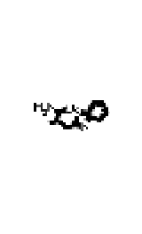 CC(Cc1nc2ccccc2s1)C(N)=O